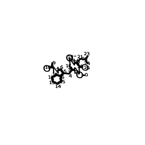 COn1c(Cc2cn(C(C)=O)c3ccccc23)c[n+]([O-])c(CC(C)C)c1=O